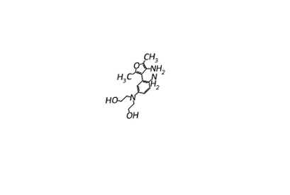 Cc1oc(C)c(-c2cc(N(CCO)CCO)ccc2N)c1N